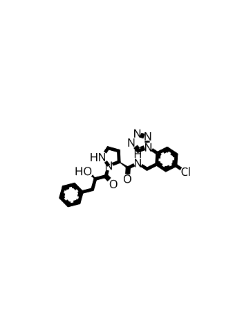 O=C(NCc1cc(Cl)ccc1-n1cnnn1)[C@@H]1CCNN1C(=O)[C@H](O)Cc1ccccc1